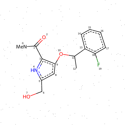 CNC(=O)c1[nH]c(CO)cc1OC(C)c1ccccc1F